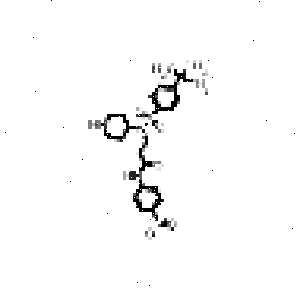 CC(C)(C)c1ccc(S(=O)(=O)N(CCC(=O)Nc2ccc([N+](=O)[O-])cc2)C2CCNCC2)cc1